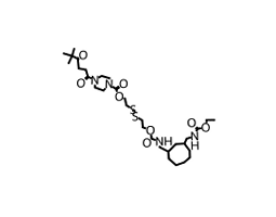 CCOC(=O)NCC1CCCCCC(CNC(=O)OCCSSCCOC(=O)N2CCN(C(=O)CCC(=O)C(C)(C)C)CC2)C1